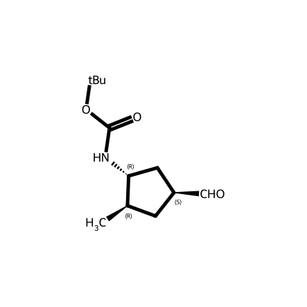 C[C@@H]1C[C@H](C=O)C[C@H]1NC(=O)OC(C)(C)C